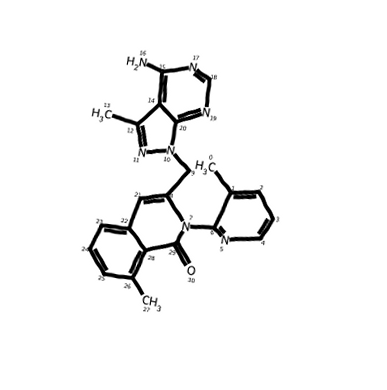 Cc1cccnc1-n1c(Cn2nc(C)c3c(N)ncnc32)cc2cccc(C)c2c1=O